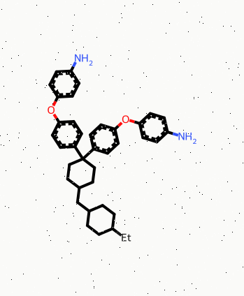 CCC1CCC(CC2CCC(c3ccc(Oc4ccc(N)cc4)cc3)(c3ccc(Oc4ccc(N)cc4)cc3)CC2)CC1